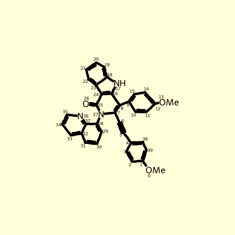 COc1ccc(C#Cc2c(-c3ccc(OC)cc3)c3[nH]c4ccccc4c3c(=O)n2-c2cccc3cccnc23)cc1